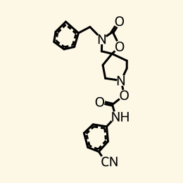 N#Cc1cccc(NC(=O)ON2CCC3(CC2)CN(Cc2ccccc2)C(=O)O3)c1